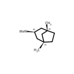 CN[C@H]1C[C@]2(C)CC[C@](C)(C1)C2